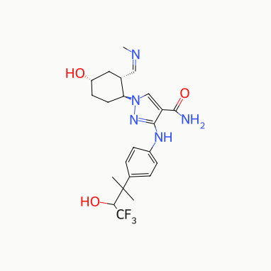 C/N=C\[C@H]1C[C@@H](O)CC[C@@H]1n1cc(C(N)=O)c(Nc2ccc(C(C)(C)C(O)C(F)(F)F)cc2)n1